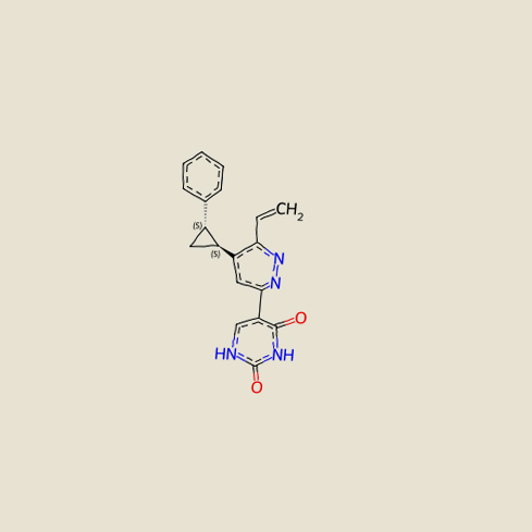 C=Cc1nnc(-c2c[nH]c(=O)[nH]c2=O)cc1[C@H]1C[C@@H]1c1ccccc1